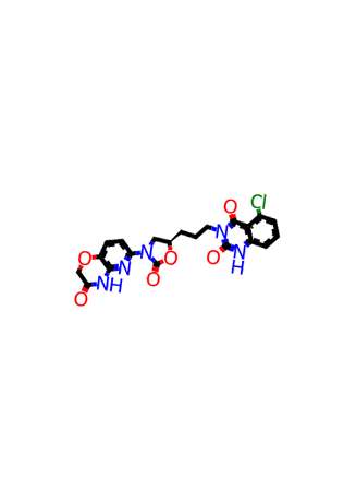 O=C1COc2ccc(N3C[C@@H](CCCn4c(=O)[nH]c5cccc(Cl)c5c4=O)OC3=O)nc2N1